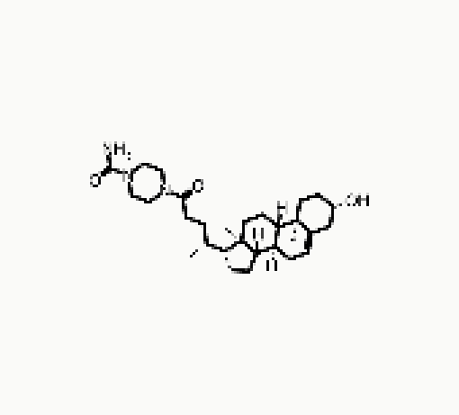 C[C@H](CCC(=O)N1CCN(C(N)=O)CC1)[C@H]1CC[C@H]2[C@@H]3CC=C4C[C@@H](O)CC[C@]4(C)[C@H]3CC[C@]12C